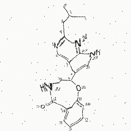 CC(C)Cc1ncc2c(C3CNC(=O)c4ccccc4O3)c[nH]c2n1